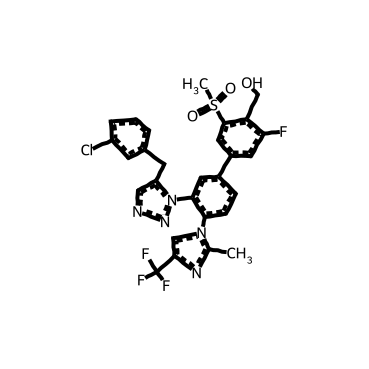 Cc1nc(C(F)(F)F)cn1-c1ccc(-c2cc(F)c(CO)c(S(C)(=O)=O)c2)cc1-n1nncc1Cc1cccc(Cl)c1